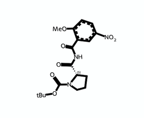 COc1ccc([N+](=O)[O-])cc1C(=O)NC(=O)[C@@H]1CCCN1C(=O)OC(C)(C)C